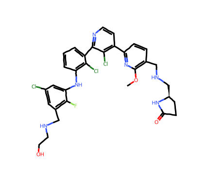 COc1nc(-c2ccnc(-c3cccc(Nc4cc(Cl)cc(CNCCO)c4F)c3Cl)c2Cl)ccc1CNC[C@H]1CCC(=O)N1